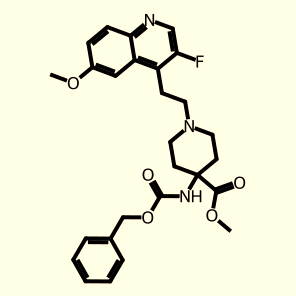 COC(=O)C1(NC(=O)OCc2ccccc2)CCN(CCc2c(F)cnc3ccc(OC)cc23)CC1